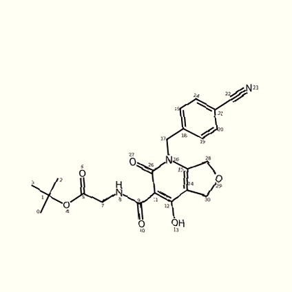 CC(C)(C)OC(=O)CNC(=O)c1c(O)c2c(n(Cc3ccc(C#N)cc3)c1=O)COC2